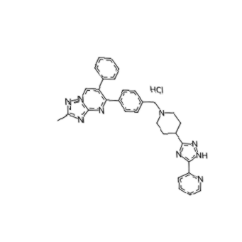 Cc1nc2nc(-c3ccc(CN4CCC(c5n[nH]c(-c6ccccn6)n5)CC4)cc3)c(-c3ccccc3)cn2n1.Cl